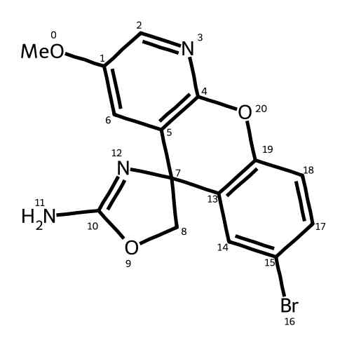 COc1cnc2c(c1)C1(COC(N)=N1)c1cc(Br)ccc1O2